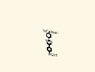 CCCCCCCCC[C@]1(C#N)CC[C@H](c2ncc(-c3ccc(CCCCCCCC)cc3)cn2)CC1